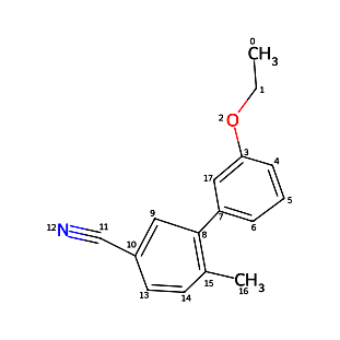 CCOc1cccc(-c2cc(C#N)ccc2C)c1